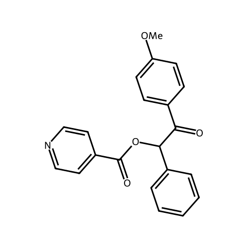 COc1ccc(C(=O)C(OC(=O)c2ccncc2)c2ccccc2)cc1